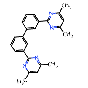 Cc1cc(C)nc(-c2cccc(-c3cccc(-c4nc(C)cc(C)n4)c3)c2)n1